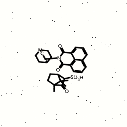 CC12CCC(C(S(=O)(=O)O)C1=O)C2(C)C.O=C1c2cccc3cccc(c23)C(=O)N1C1CN2CCC1CC2